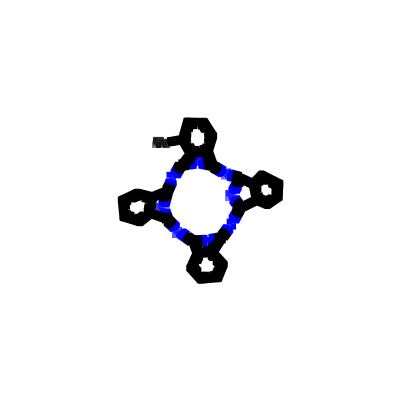 [Mo][c]1cccc2c3nc4nc(nc5[nH]c(nc6nc(nc([nH]3)c12)-c1ccccc1-6)c1ccccc51)-c1ccccc1-4